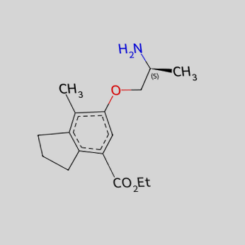 CCOC(=O)c1cc(OC[C@H](C)N)c(C)c2c1CCC2